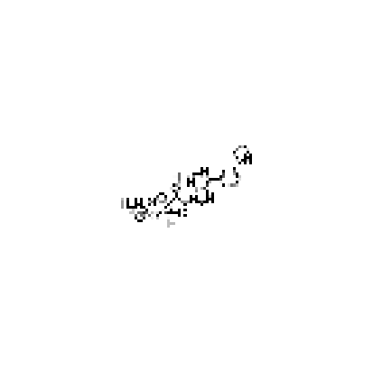 NS(=O)(=O)OC1[C@H]2O[C@@H](n3cnc4c(-c5cccc(-n6cccn6)c5)ncnc43)[C@H](O)[C@@]12O